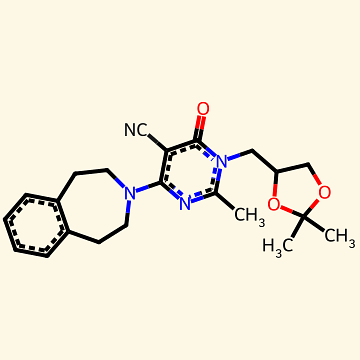 Cc1nc(N2CCc3ccccc3CC2)c(C#N)c(=O)n1CC1COC(C)(C)O1